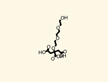 O=C(O)CC(CC(=O)O)(OCCOCCOCCO)C(=O)O